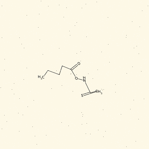 CCCCC(=O)ONC(C)=S